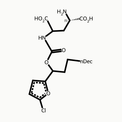 CCCCCCCCCCCCC(OC(=O)NC(C[C@H](N)C(=O)O)C(=O)O)c1ccc(Cl)o1